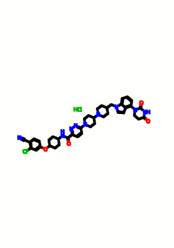 Cl.N#Cc1ccc(OC2CCC(NC(=O)c3ccc(N4CCC(N5CCC(Cn6ccc7c(N8CCC(=O)NC8=O)cccc76)CC5)CC4)nn3)CC2)cc1Cl